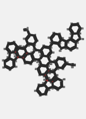 CC(C)(C)c1ccc(N2c3cc(-n4c5ccccc5c5ccccc54)ccc3B3c4ccc(-n5c6ccccc6c6ccncc65)cc4N(c4ccc(C(C)(C)C)cc4-c4ccccc4)c4cc(-c5cccc6c5sc5ccc7sc8ccccc8c7c56)cc2c43)c(-c2ccccc2)c1